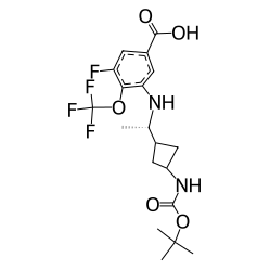 C[C@H](Nc1cc(C(=O)O)cc(F)c1OC(F)(F)F)C1CC(NC(=O)OC(C)(C)C)C1